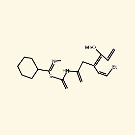 C=C/C(OC)=C(\C=C/CC)CC(=C)NC(=C)S/C(=N\C)C1CCCCC1